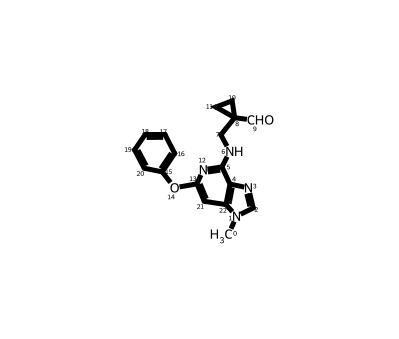 Cn1cnc2c(NCC3(C=O)CC3)nc(Oc3ccccc3)cc21